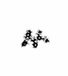 CC(C)(C)OC(=O)c1cc(NC(=O)C(CNC(=O)c2cc3ccsc3cc2C(=O)NCC23CC4CC(CC(C4)C2)C3)c2ccccc2)cc(C(=O)OC(C)(C)C)c1